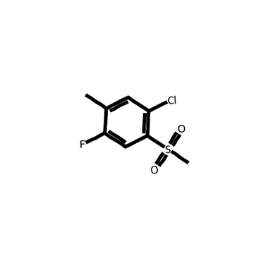 Cc1cc(Cl)c(S(C)(=O)=O)cc1F